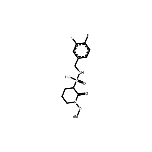 CCCCON1CCCC(P(=O)(O)NCc2ccc(F)c(F)c2)C1=O